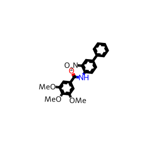 COc1cc(C(=O)Nc2ccc(-c3ccccc3)cc2[N+](=O)[O-])cc(OC)c1OC